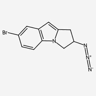 [N-]=[N+]=NC1Cc2cc3cc(Br)ccc3n2C1